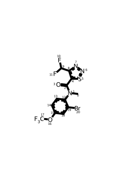 CN(C(=O)c1snnc1C(F)F)c1ccc(OC(F)(F)F)cc1Br